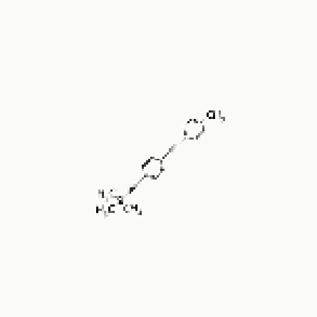 Cc1ccc(C#Cc2ccc(C#C[Si](C)(C)C)cc2)cc1